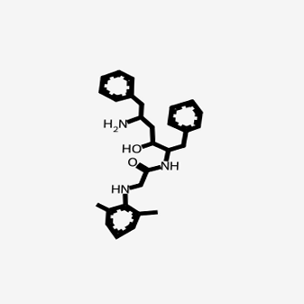 Cc1cccc(C)c1NCC(=O)NC(Cc1ccccc1)C(O)CC(N)Cc1ccccc1